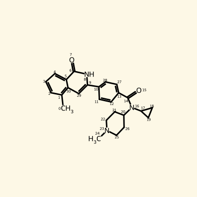 Cc1cccc2c(=O)[nH]c(-c3ccc(C(=O)N(C4CC4)C4CCN(C)CC4)cc3)cc12